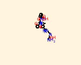 COc1cccc(OC)c1-c1cc(C(=O)NC2(C(=O)O)C3CC4CC(C3)CC2C4)nn1-c1ccc(-c2cn(CCCN(C)CC(O)CN)nn2)cc1C(C)C